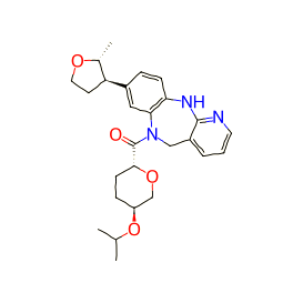 CC(C)O[C@H]1CC[C@H](C(=O)N2Cc3cccnc3Nc3ccc([C@H]4CCO[C@@H]4C)cc32)OC1